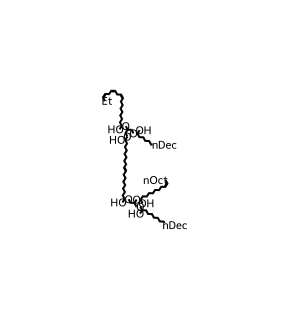 CC/C=C\C/C=C\C/C=C\CCCCCCCC(O)OC(COC(O)CCCCCCCC=CCCCCCCCC(O)OCC(COC(O)CCCCCCCCCCCCCCCCC)OC(O)CCCCCCC/C=C\CCCCCCCC)COC(O)CCCCCCCCCCCCCCC